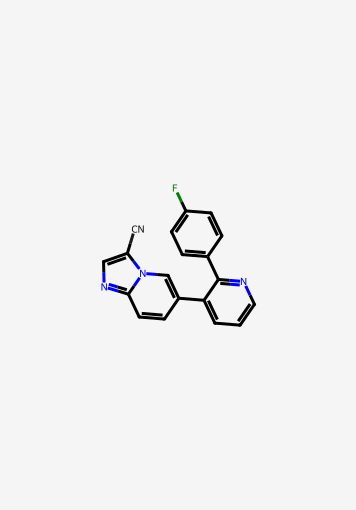 N#Cc1cnc2ccc(-c3cccnc3-c3ccc(F)cc3)cn12